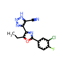 CCc1oc(-c2ccc(F)c(Cl)c2)nc1-c1nn[nH]c1C#N